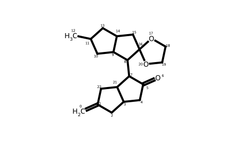 C=C1CC2CC(=O)C(C3C4CC(C)CC4CC34OCCO4)C2C1